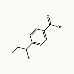 CCC(Br)c1ccc(C(=O)O)cc1